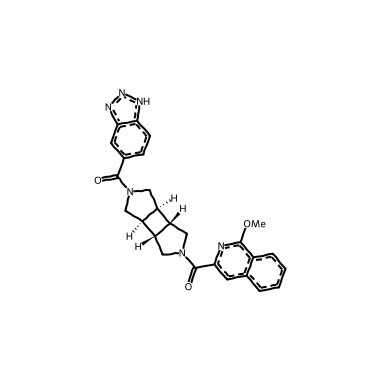 COc1nc(C(=O)N2C[C@@H]3[C@H]4CN(C(=O)c5ccc6[nH]nnc6c5)C[C@H]4[C@@H]3C2)cc2ccccc12